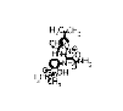 CC[C@@H](NC1=NS(=O)(=O)C(C(N)=O)=C1Nc1cccc(S(=O)(=O)N(C)C)c1O)c1cc(C(C)C)co1